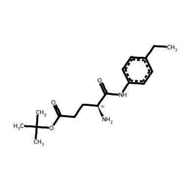 CCc1ccc(NC(=O)[C@@H](N)CCC(=O)OC(C)(C)C)cc1